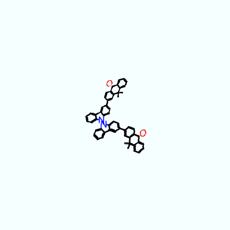 CC1(C)c2ccccc2C(=O)c2ccc(-c3ccc4c(c3)c3ccccc3n4-n3c4ccccc4c4cc(-c5ccc6c(c5)C(C)(C)c5ccccc5C6=O)ccc43)cc21